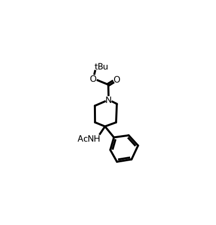 CC(=O)NC1(c2ccccc2)CCN(C(=O)OC(C)(C)C)CC1